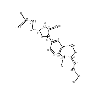 CCON=C1COc2cc(N3C[C@H](CNC(C)=O)OC3=O)ccc2N1C